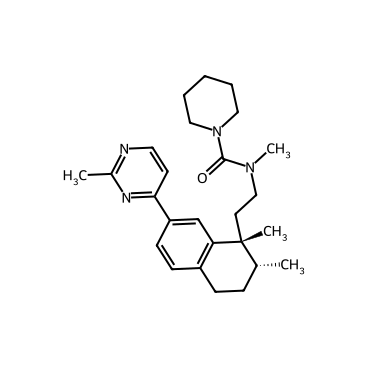 Cc1nccc(-c2ccc3c(c2)[C@](C)(CCN(C)C(=O)N2CCCCC2)[C@H](C)CC3)n1